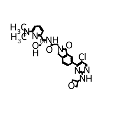 CN(C)c1cccc([C@@H](CO)NC(=O)CN2Cc3ccc(-c4nc(NC5COC5)ncc4Cl)cc3C2=O)n1